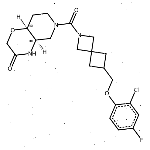 O=C1CO[C@H]2CCN(C(=O)N3CC4(CC(COc5ccc(F)cc5Cl)C4)C3)C[C@H]2N1